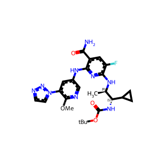 COc1ncc(Nc2nc(N[C@H](C)[C@@H](NC(=O)OC(C)(C)C)C3CC3)c(F)cc2C(N)=O)cc1-n1ccnn1